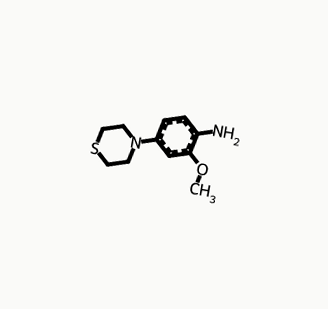 COc1cc(N2CCSCC2)ccc1N